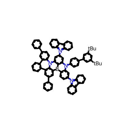 CC(C)(C)c1cc(-c2ccc(N3c4cc(-n5c6ccccc6c6ccccc65)ccc4B4c5cc(-c6ccccc6)cc6c5N(c5ccc(-c7ccccc7)cc5-c5ccccc5-6)c5cc(-n6c7ccccc7c7ccccc76)cc3c54)cc2)cc(C(C)(C)C)c1